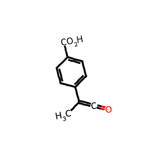 CC(=C=O)c1ccc(C(=O)O)cc1